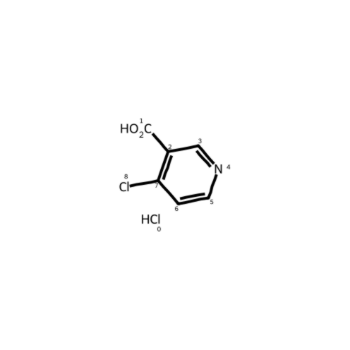 Cl.O=C(O)c1cnccc1Cl